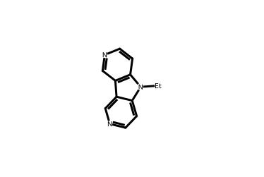 CCn1c2ccncc2c2cnccc21